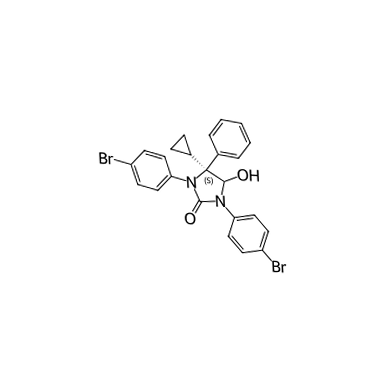 O=C1N(c2ccc(Br)cc2)C(O)[C@@](c2ccccc2)(C2CC2)N1c1ccc(Br)cc1